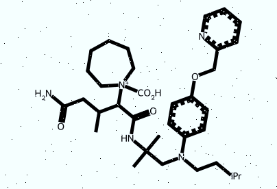 CC(C)CCN(CC(C)(C)NC(=O)C(C(C)CC(N)=O)[N+]1(C(=O)O)CCCCCC1)c1ccc(OCc2ccccn2)cc1